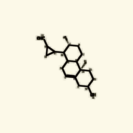 C[C@@H]1CCC2C(CC=C3CC(O)CC[C@@]32C)C1C1CC1C=O